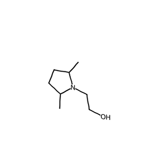 CC1CCC(C)N1CCO